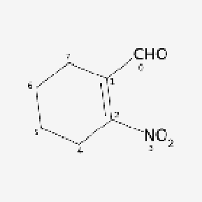 O=CC1=C([N+](=O)[O-])CCCC1